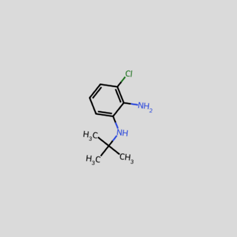 CC(C)(C)Nc1cccc(Cl)c1N